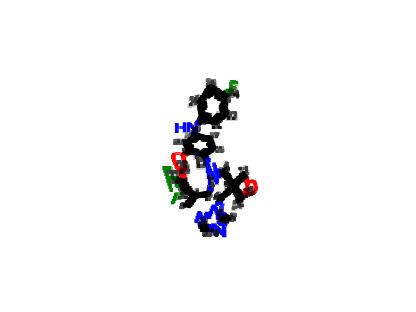 C=C1CN(CC2(Cn3cncn3)COC2)c2ccc(Nc3ccc(F)cc3)cc2OC1(F)F